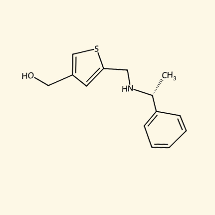 C[C@@H](NCc1cc(CO)cs1)c1ccccc1